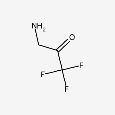 NCC(=O)C(F)(F)F